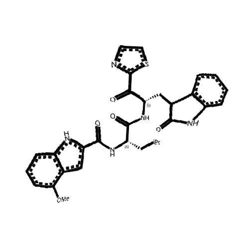 COc1cccc2[nH]c(C(=O)N[C@@H](CC(C)C)C(=O)N[C@@H](CC3C(=O)Nc4ccccc43)C(=O)c3nccs3)cc12